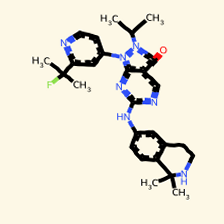 CC(C)n1c(=O)c2cnc(Nc3ccc4c(c3)CCNC4(C)C)nc2n1-c1ccnc(C(C)(C)F)c1